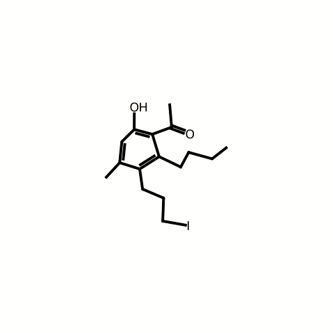 CCCCc1c(CCCI)c(C)cc(O)c1C(C)=O